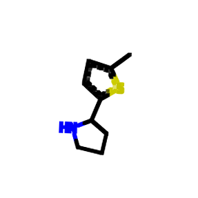 Cc1ccc(C2CCCN2)s1